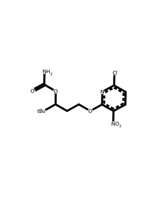 CC(C)(C)C(CCOc1nc(Cl)ccc1[N+](=O)[O-])OC(N)=O